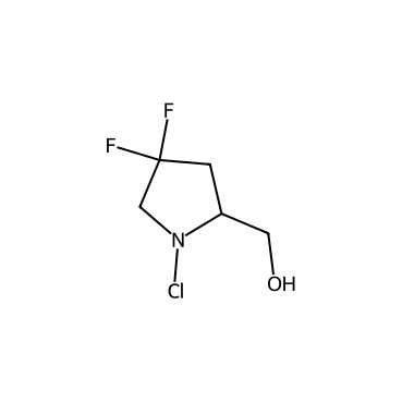 OCC1CC(F)(F)CN1Cl